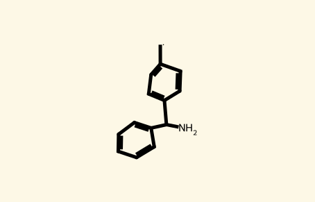 [CH2]c1ccc(C(N)c2ccccc2)cc1